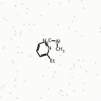 CCc1ccccn1.[CH3][Al][CH3]